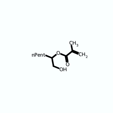 C=C(C)C(=O)OC(CO)CCCCC